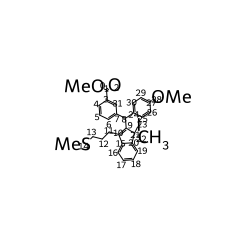 COC(=O)c1cccc(C(C2=C(CCCSC)c3ccccc3[C@]2(C)I)c2ccc(OC)cc2)c1